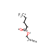 CCCCCCC[O][Sn](=[O])[CH2]CCC(F)(F)F